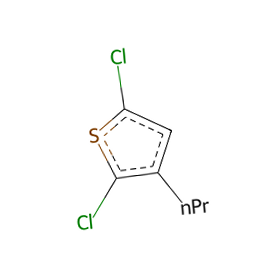 CCCc1cc(Cl)sc1Cl